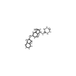 c1ccc2sc(Oc3cnc4c(CN5CCOCC5)c[nH]c4c3)nc2c1